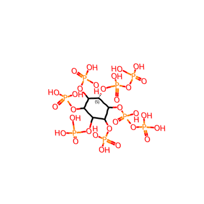 O=P(O)(O)OC1C(OP(=O)(O)O)C(OP(=O)(O)O)[C@H](OP(=O)(O)OP(=O)(O)O)C(OP(=O)(O)OP(=O)(O)O)C1OP(=O)(O)O